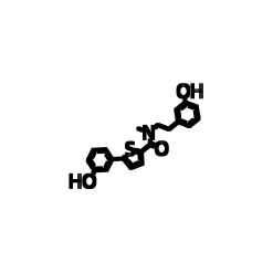 CN(CCc1cccc(O)c1)C(=O)c1ccc(-c2cccc(O)c2)s1